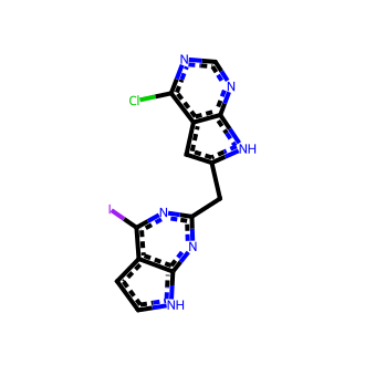 Clc1ncnc2[nH]c(Cc3nc(I)c4cc[nH]c4n3)cc12